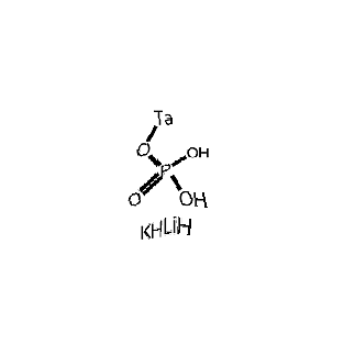 O=P(O)(O)[O][Ta].[KH].[LiH]